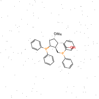 CO[C@H]1C[C@H](P(c2ccccc2)c2ccccc2)[C@H](CP(c2ccccc2)c2ccccc2)[C@H]1CCO